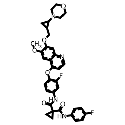 COc1cc2c(Oc3ccc(NC(=O)C4(C(=O)Nc5ccc(F)cc5)CC4)cc3F)ccnc2cc1OCC1CC1N1CCOCC1